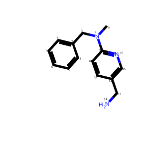 CN(Cc1ccccc1)c1ccc(CN)cn1